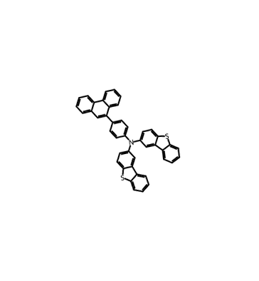 c1ccc2c(c1)cc(-c1ccc(N(c3ccc4sc5ccccc5c4c3)c3ccc4sc5ccccc5c4c3)cc1)c1ccccc12